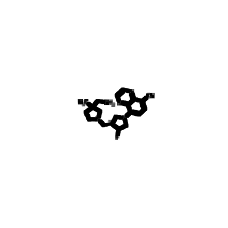 CC1(CN)CCN(C[C@H]2CN(c3ccc(C#N)c4nccnc34)CC2F)C1